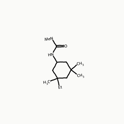 CCC1(C)CC(NC(=O)NC)CC(C)(C)C1